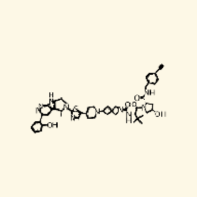 C#Cc1ccc(CNC(=O)[C@@H]2C[C@@H](O)CN2C(=O)[C@@H](NC(=O)N2CC3(CC(N4CCC(c5cnc(N6CCc7[nH]c8nnc(-c9ccccc9O)cc8c7[C@@H]6C)s5)CC4)C3)C2)C(C)(C)C)cc1